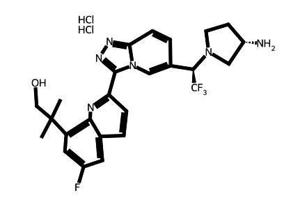 CC(C)(CO)c1cc(F)cc2ccc(-c3nnc4ccc([C@@H](N5CC[C@H](N)C5)C(F)(F)F)cn34)nc12.Cl.Cl